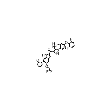 Cc1cc(Oc2c(F)cccc2F)ncc1-n1ncc(C(=O)c2cc3cc(OCC(F)F)c(N4CCCC4=O)cc3[nH]2)c1N